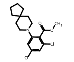 COC(=O)c1c(Cl)cc(Cl)cc1N1CCC2(CCCC2)CC1